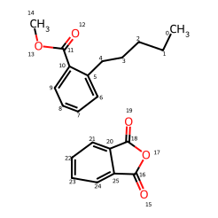 CCCCCc1ccccc1C(=O)OC.O=C1OC(=O)c2ccccc21